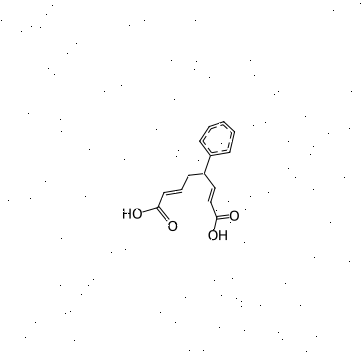 O=C(O)C=CCC(C=CC(=O)O)c1ccccc1